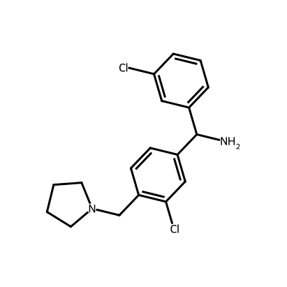 NC(c1cccc(Cl)c1)c1ccc(CN2CCCC2)c(Cl)c1